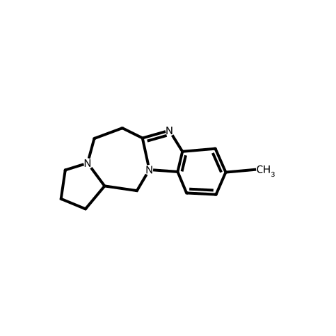 Cc1ccc2c(c1)nc1n2CC2CCCN2CC1